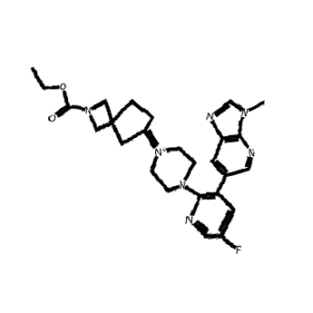 CCOC(=O)N1CC2(CCC(=[N+]3CCN(c4ncc(F)cc4-c4cnc5c(c4)ncn5C)CC3)C2)C1